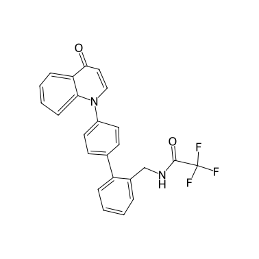 O=C(NCc1ccccc1-c1ccc(-n2ccc(=O)c3ccccc32)cc1)C(F)(F)F